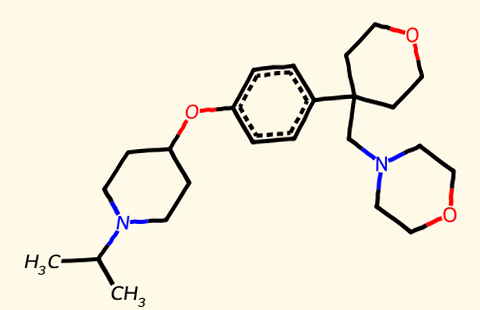 CC(C)N1CCC(Oc2ccc(C3(CN4CCOCC4)CCOCC3)cc2)CC1